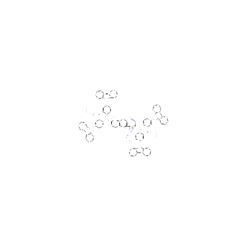 CC1(C)c2cc(-n3c4ccccc4c4ccccc43)ccc2N(C(=N)/C=C\c2cc3nc(N4c5ccc(-n6c7ccccc7c7ccccc76)cc5C(C)(C)c5cc(-n6c7ccccc7c7ccccc76)ccc54)ccc3cc2/N=C\C=N)c2ccc(-n3c4ccccc4c4ccccc43)cc21